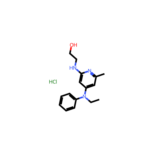 CCN(c1ccccc1)c1cc(C)nc(NCCO)c1.Cl